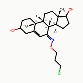 C[C@]12CCC(O)CC1=CC(=NOCCCCl)[C@@H]1[C@H]2CC[C@]2(C)C(O)CC[C@@H]12